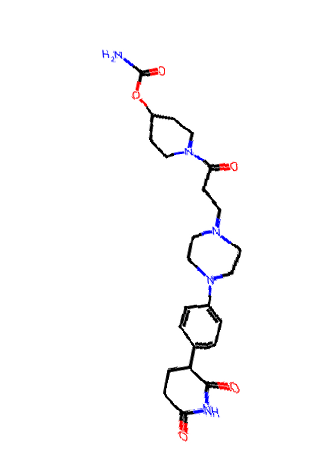 NC(=O)OC1CCN(C(=O)CCN2CCN(c3ccc(C4CCC(=O)NC4=O)cc3)CC2)CC1